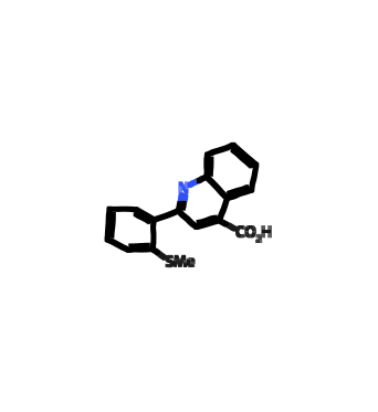 CSc1ccccc1-c1cc(C(=O)O)c2ccccc2n1